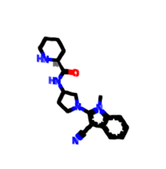 Cn1c(N2CCC(NC(=O)[C@@H]3CCCCN3)C2)c(C#N)c2ccccc21